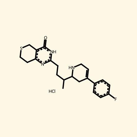 CC(CCc1nc2c(c(=O)[nH]1)CSCC2)C1CC(c2ccc(F)cc2)=CCN1.Cl